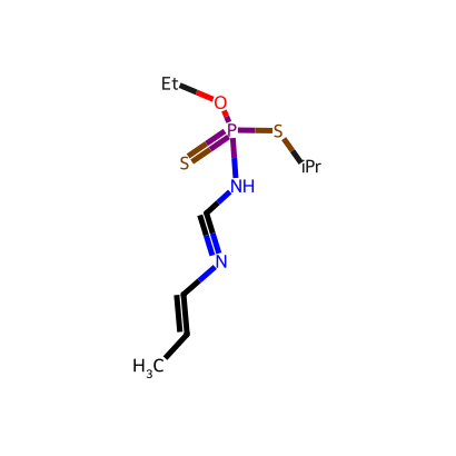 CC=CN=CNP(=S)(OCC)SC(C)C